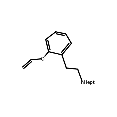 C=COc1ccccc1CCCCCCCCC